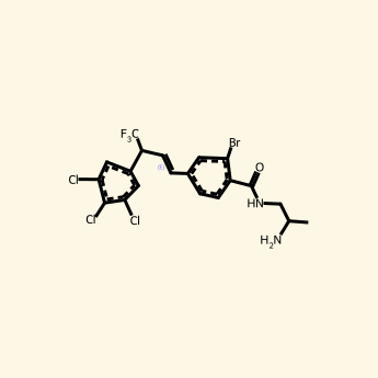 CC(N)CNC(=O)c1ccc(/C=C/C(c2cc(Cl)c(Cl)c(Cl)c2)C(F)(F)F)cc1Br